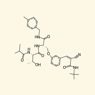 Cc1ccc(CNC(=O)[C@H](COc2cccc(C=C(C#N)C(=O)NC(C)(C)C)c2)NC(=O)[C@@H](NC(=O)C(C)C)[C@@H](C)O)cc1